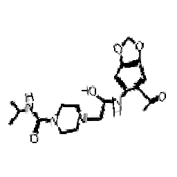 CC(=O)c1cc2c(cc1NC(O)CN1CCN(C(=O)NC(C)C)CC1)OCO2